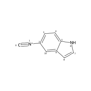 [C-]#[N+]c1ccc2[nH]ccc2c1